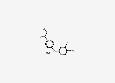 Cl.Nc1ccc(Oc2ccc(C(=O)CBr)cc2)cc1F